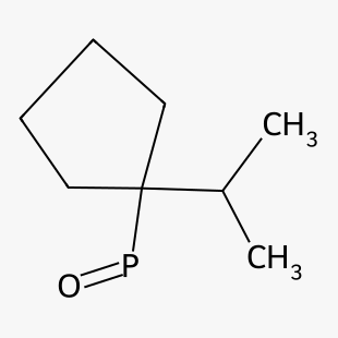 CC(C)C1(P=O)CCCC1